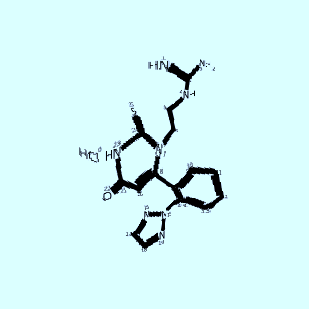 Cl.N=C(N)NCCn1c(-c2ccccc2-n2nccn2)cc(=O)[nH]c1=S